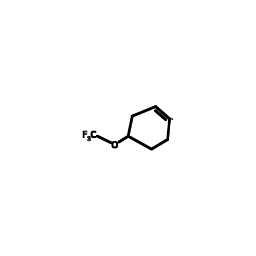 FC(F)(F)OC1CC=[C]CC1